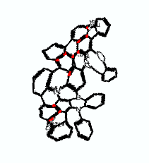 CC(C)(C)c1ccc(-c2ccccc2N2c3cc4c(cc3B3c5ccccc5Oc5c3c2cc2oc3ccccc3c52)B2c3ccccc3N(c3ccccc3)c3c2c(cc2oc5ccccc5c32)N4c2c(-c3ccc(C(C)(C)C)cc3)cccc2-c2ccc(C(C)(C)C)cc2)cc1